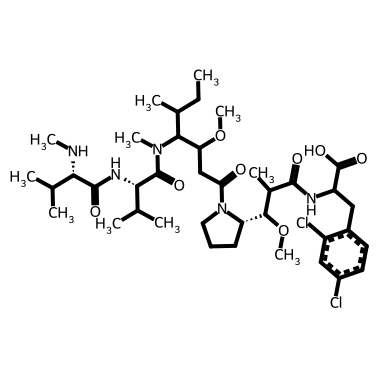 CCC(C)C(C(CC(=O)N1CCC[C@H]1C(OC)C(C)C(=O)NC(Cc1ccc(Cl)cc1Cl)C(=O)O)OC)N(C)C(=O)[C@@H](NC(=O)[C@@H](NC)C(C)C)C(C)C